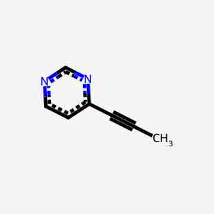 CC#Cc1ccncn1